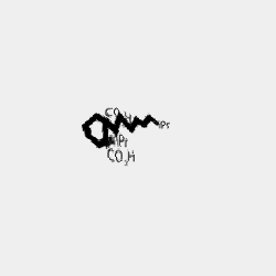 CCCC1(C(=O)O)CC=CCC1(CCCCCCC(C)C)C(=O)O